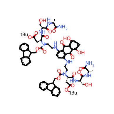 C[C@H](NC(=O)[C@H](CO)NC(=O)[C@H](CC(=O)OC(C)(C)C)N(CCNc1ccc(NCCN(C(=O)OCC2c3ccccc3-c3ccccc32)[C@@H](CC(=O)OC(C)(C)C)C(=O)N[C@@H](CO)C(=O)N[C@@H](C)C(N)=O)c2c1C(=O)c1c(O)ccc(O)c1C2=O)C(=O)OCC1c2ccccc2-c2ccccc21)C(N)=O